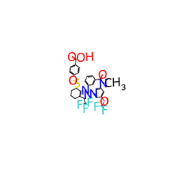 CN(C(=O)c1cccc(-n2nc(C(F)(F)F)c3c2C(SOc2ccc(C(=O)O)cc2)CCC3)c1)c1cncc(OC(F)F)c1